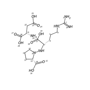 N=C(N)NCCC[C@H](NN1CCC[C@H]1C(=O)O)C(=O)O.N[C@@H](CC(=O)O)C(=O)O